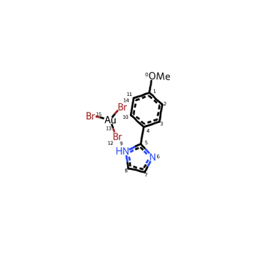 COc1ccc(-c2ncc[nH]2)cc1.[Br][Au]([Br])[Br]